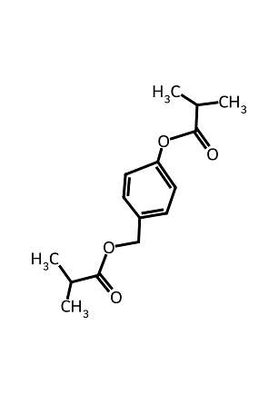 CC(C)C(=O)OCc1ccc(OC(=O)C(C)C)cc1